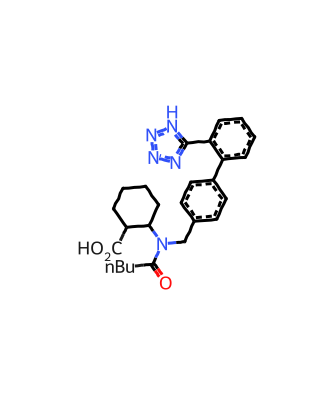 CCCCC(=O)N(Cc1ccc(-c2ccccc2-c2nnn[nH]2)cc1)C1CCCCC1C(=O)O